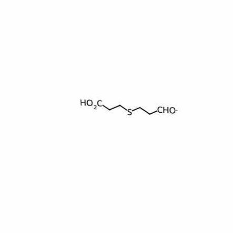 O=[C]CCSCCC(=O)O